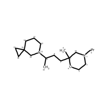 CC(C)N1CCOC(C)(CCC(C)N2CCCC3(CC3)C2)C1